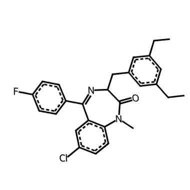 CCc1cc(CC)cc(CC2N=C(c3ccc(F)cc3)c3cc(Cl)ccc3N(C)C2=O)c1